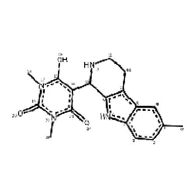 Cc1ccc2[nH]c3c(c2c1)CCNC3c1c(O)n(C)c(=O)n(C)c1=O